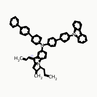 C=C/C=c1\c2n(c3ccc(N(c4ccc(-c5ccc(-c6ccccc6)cc5)cc4)c4ccc(-c5ccc(-n6c7ccccc7c7ccccc76)cc5)cc4)cc13)C(CC=C)C(=C)C=2